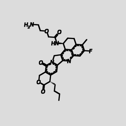 CCCC[C@@H]1C(=O)OCc2c1cc1n(c2=O)Cc2c-1nc1cc(F)c(C)c3c1c2[C@@H](NC(=O)COCCN)CC3